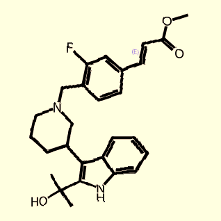 COC(=O)/C=C/c1ccc(CN2CCCC(c3c(C(C)(C)O)[nH]c4ccccc34)C2)c(F)c1